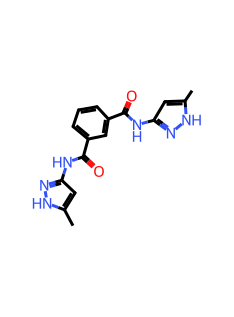 Cc1cc(NC(=O)c2cccc(C(=O)Nc3cc(C)[nH]n3)c2)n[nH]1